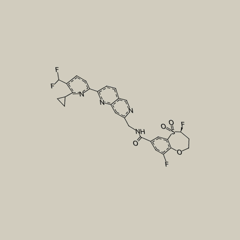 O=C(NCc1cc2nc(-c3ccc(C(F)F)c(C4CC4)n3)ccc2cn1)c1cc(F)c2c(c1)S(=O)(=O)[C@@H](F)CCO2